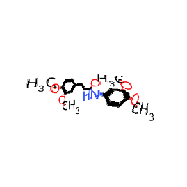 COc1ccc(CCC(=O)Nc2ccc(OC)c(OC)c2)cc1OC